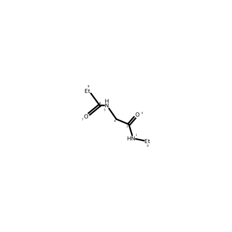 CCNC(=O)CNC(=O)CC